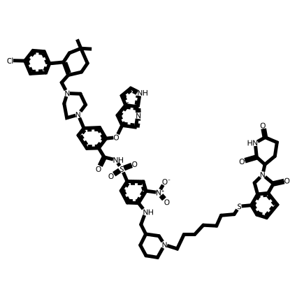 CC1(C)CCC(CN2CCN(c3ccc(C(=O)NS(=O)(=O)c4ccc(NCC5CCCN(CCCCCCCSc6cccc7c6CN(C6CCC(=O)NC6=O)C7=O)C5)c([N+](=O)[O-])c4)c(Oc4cnc5[nH]ccc5c4)c3)CC2)=C(c2ccc(Cl)cc2)C1